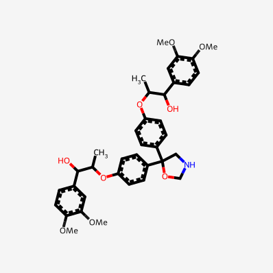 COc1ccc(C(O)C(C)Oc2ccc(C3(c4ccc(OC(C)C(O)c5ccc(OC)c(OC)c5)cc4)CNCO3)cc2)cc1OC